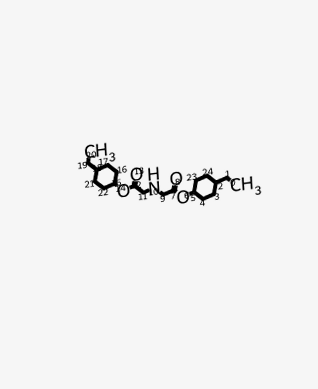 CCC1CCC(OC(=O)CNCC(=O)OC2CCC(CC)CC2)CC1